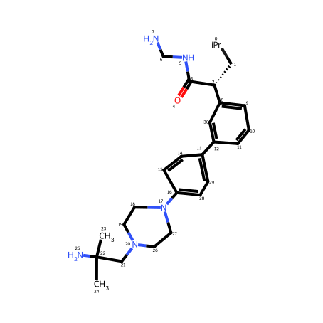 CC(C)C[C@@H](C(=O)NCN)c1cccc(-c2ccc(N3CCN(CC(C)(C)N)CC3)cc2)c1